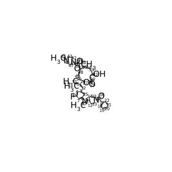 C/C(=C\c1cc(F)cc(N(C)C2CCN(C(=O)c3ccccc3)CC2)c1)[C@H]1OC(=O)C[C@H](O)CC[C@H](C)[C@@H](OC(=O)N2CCN(C)CC2)/C=C/[C@@H]1C